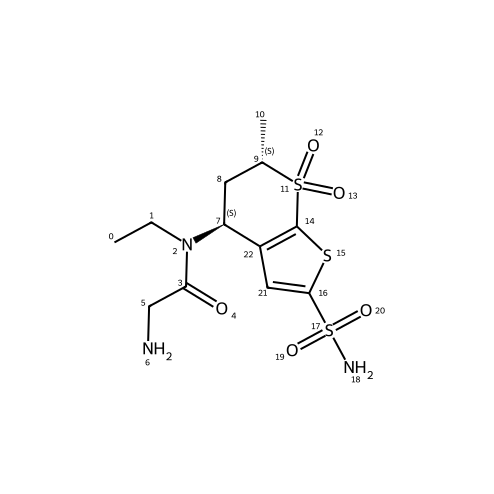 CCN(C(=O)CN)[C@H]1C[C@H](C)S(=O)(=O)c2sc(S(N)(=O)=O)cc21